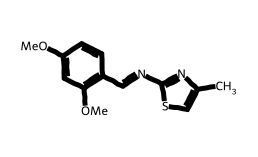 COc1ccc(/C=N/c2nc(C)cs2)c(OC)c1